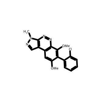 COc1cc2c(nnc3c2cnn3C)c(OC)c1-c1ccccc1Cl